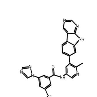 Cc1ncc(NC(=O)c2cc(-n3cncn3)cc(C(F)(F)F)c2)cc1-c1ccc2c(c1)[nH]c1ncncc12